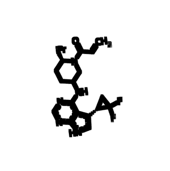 C=CC(=O)N1CC(Nc2ncnc3[nH]cc([C@@H]4CC4(F)F)c23)CC[C@H]1C(C)C